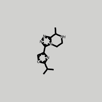 CC(C)c1nc(-c2nnc3n2CCNC3C)co1